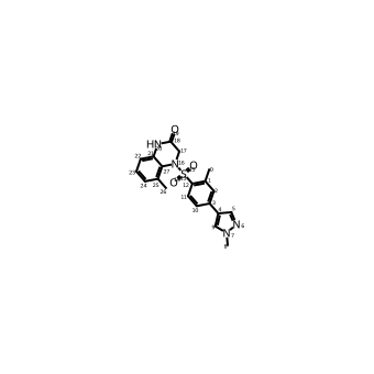 Cc1cc(-c2cnn(C)c2)ccc1S(=O)(=O)N1CC(=O)Nc2cccc(C)c21